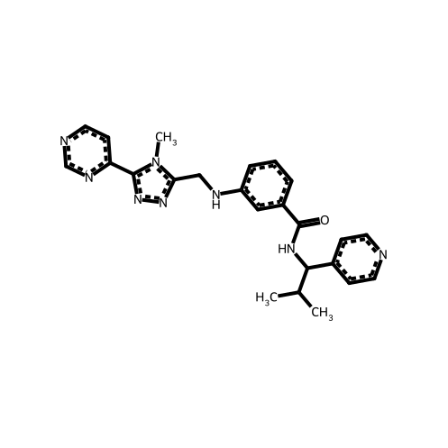 CC(C)C(NC(=O)c1cccc(NCc2nnc(-c3ccncn3)n2C)c1)c1ccncc1